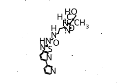 CC(C)(CO)c1nc(CCNC(=O)Nc2nc3ccc(-c4cccnc4)nc3s2)no1